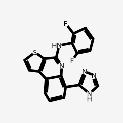 Fc1cccc(F)c1Nc1nc2c(-c3nnc[nH]3)cccc2c2ccsc12